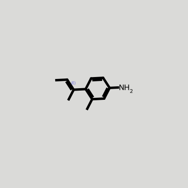 C/C=C(\C)c1ccc(N)cc1C